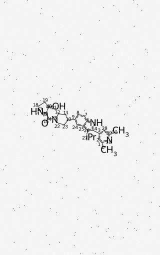 Cc1cc(-c2[nH]c3ccc(C4CCN(C(=O)[C@H]5NCC[C@H]5O)CC4)cc3c2C(C)C)cc(C)n1